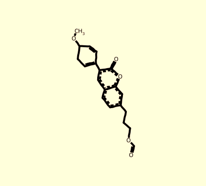 COC1C=CC(c2cc3ccc(CCCOC=O)cc3oc2=O)=CC1